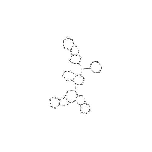 c1ccc(N(c2ccc3c(c2)oc2ccccc23)c2ccc(-c3cc4c5ccccc5oc4c4c3sc3ccccc34)c3ccccc23)cc1